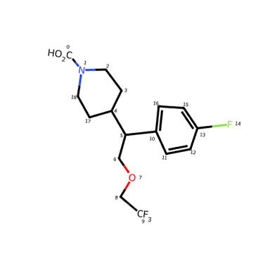 O=C(O)N1CCC(C(COCC(F)(F)F)c2ccc(F)cc2)CC1